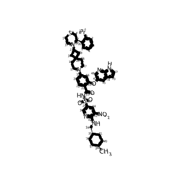 CC(C)c1ccccc1[C@@H]1CSCCN1C1CC2(CCN(c3ccc(C(=O)NS(=O)(=O)c4cnc(NC[C@H]5CC[C@@H](C)CC5)c([N+](=O)[O-])c4)c(Oc4cnc5[nH]ccc5c4)c3)CC2)C1